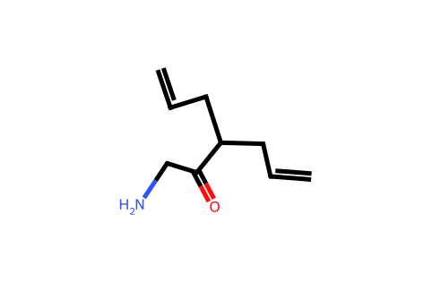 C=CCC(CC=C)C(=O)CN